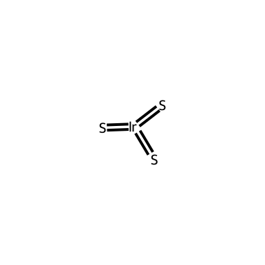 [S]=[Ir](=[S])=[S]